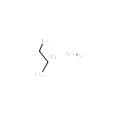 NCCN.[Mn].[NaH].[NaH]